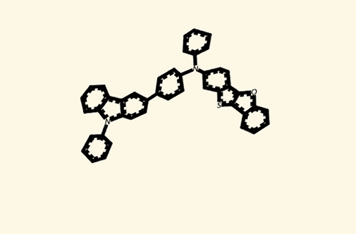 c1ccc(N(c2ccc(-c3ccc4c(c3)c3ccccc3n4-c3ccccc3)cc2)c2ccc3c(c2)sc2c4ccccc4oc32)cc1